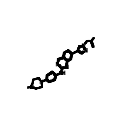 C=C(C)Cn1cc(-c2ccc3cnc(Nc4ccc(N5CCN(C)CC5)cc4)nc3c2)cn1